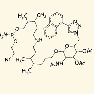 CC(=O)NC1C(OCCCC(C)C(C)CCNCCC(C)C(C)COP(N)OCCC#N)OC(Cn2cc(-c3cccc4ccccc34)nn2)C(OC(C)=O)C1OC(C)=O